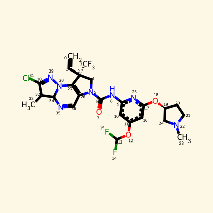 C=C[C@@]1(C(F)(F)F)CN(C(=O)Nc2cc(OC(F)F)cc(O[C@H]3CCN(C)C3)n2)C2=C1N1N=C(Cl)C(C)C1N=C2